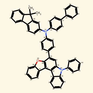 CC1(C)c2ccccc2-c2ccc(N(c3ccc(-c4ccccc4)cc3)c3ccc(-c4cc5c(c6ccccc6n5-c5ccccc5)c5c4oc4ccccc45)cc3)cc21